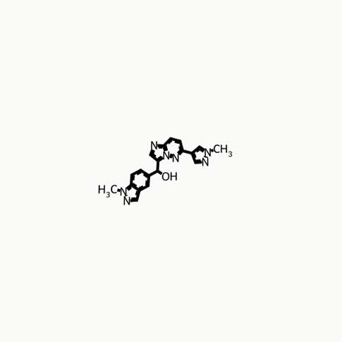 Cn1cc(-c2ccc3ncc(C(O)c4ccc5c(cnn5C)c4)n3n2)cn1